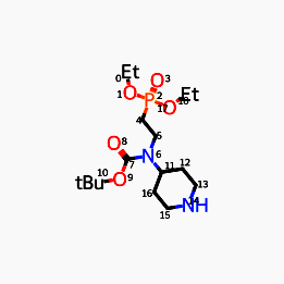 CCOP(=O)(CCN(C(=O)OC(C)(C)C)C1CCNCC1)OCC